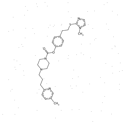 Cc1ccc(CCCN2CCN(C(=O)Oc3ccc(CCSc4nccn4C)cc3)CC2)nc1